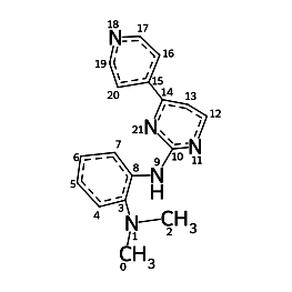 CN(C)c1ccccc1Nc1nccc(-c2ccncc2)n1